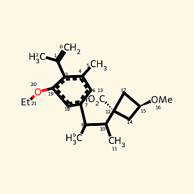 C=C(C)c1c(C)cc(C(C)C(C)[C@]2(C(=O)O)C[C@H](OC)C2)cc1OCC